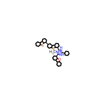 CNC(NC(NCc1cccc2c1sc1ccc(-c3cccc4c3sc3ccccc34)cc12)c1ccccc1)c1cccc2c1oc1ccccc12